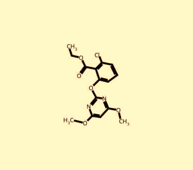 CCOC(=O)c1c(Cl)cccc1Oc1nc(OC)cc(OC)n1